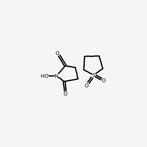 O=C1CCC(=O)N1O.O=S1(=O)CCCC1